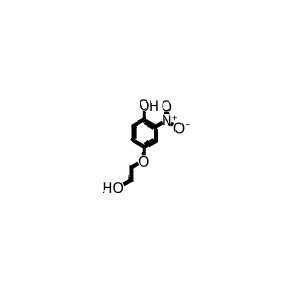 O=[N+]([O-])c1cc(OCCO)ccc1O